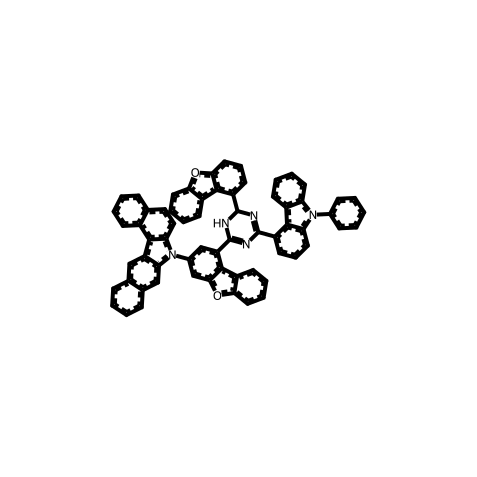 c1ccc(-n2c3ccccc3c3c(C4=NC(c5cccc6oc7ccccc7c56)NC(c5cc(-n6c7cc8ccccc8cc7c7c8ccccc8ccc76)cc6oc7ccccc7c56)=N4)cccc32)cc1